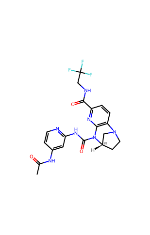 CC(=O)Nc1ccnc(NC(=O)N2c3nc(C(=O)NCC(F)(F)F)ccc3N3CC[C@H]2C3)c1